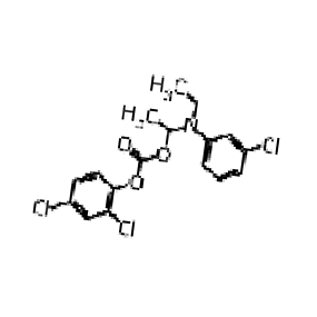 CCN(c1cccc(Cl)c1)C(C)OC(=O)Oc1ccc(Cl)cc1Cl